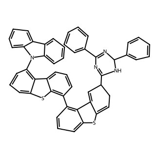 C1=c2sc3cccc(-c4cccc5c4sc4cccc(-n6c7ccccc7c7ccccc76)c45)c3c2=CC(C2=NC(c3ccccc3)=NC(c3ccccc3)N2)C1